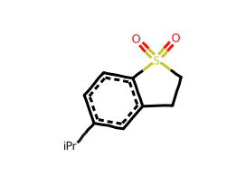 CC(C)c1ccc2c(c1)CCS2(=O)=O